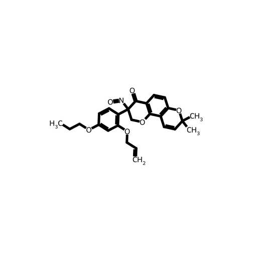 C=CCOc1cc(OCCC)ccc1C1(N=O)COc2c(ccc3c2C=CC(C)(C)O3)C1=O